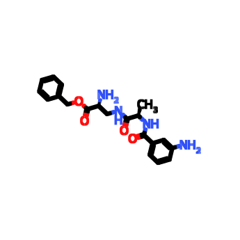 C[C@@H](NC(=O)c1cccc(N)c1)C(=O)NC[C@H](N)C(=O)OCc1ccccc1